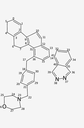 C1=CC2=C(CC1)CCc1c2ccc2cccc(Cc3ccc(CN4CCOCC4)cc3)c12.c1ccc2cnncc2c1